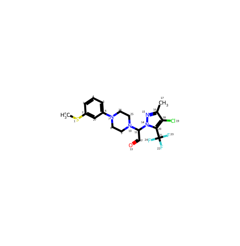 CSc1cccc(N2CCN(C(C=O)n3nc(C)c(Cl)c3C(F)(F)F)CC2)c1